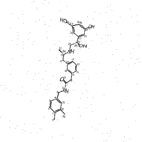 Cc1ccc(CNC(=O)Cc2cccc(C[C@@H](C)NC[C@H](O)c3cc(O)cc(O)c3)c2)cc1C